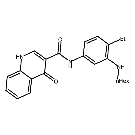 CCCCCCNc1cc(NC(=O)c2c[nH]c3ccccc3c2=O)ccc1CC